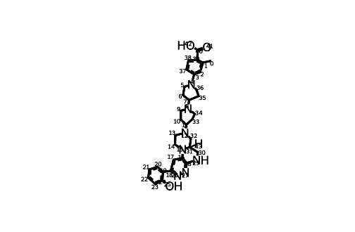 Cc1cc(N2CCC(N3CCC(N4CCN5c6cc(-c7ccccc7O)nnc6NC[C@H]5C4)CC3)CC2)ccc1C(=O)O